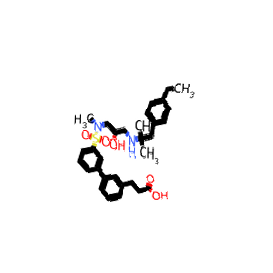 CCc1ccc(CC(C)(C)NCC(O)CN(C)S(=O)(=O)c2cccc(-c3cccc(CCC(=O)O)c3)c2)cc1